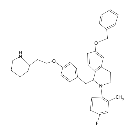 Cc1cc(F)ccc1N1CCc2cc(OCc3ccccc3)ccc2C1Cc1ccc(OCCC2CCCCN2)cc1